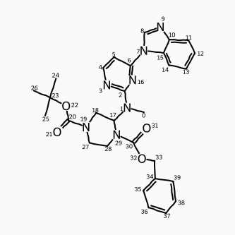 CN(c1nccc(-n2cnc3ccccc32)n1)C1CN(C(=O)OC(C)(C)C)CCN1C(=O)OCc1ccccc1